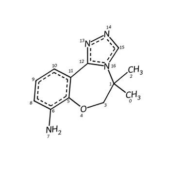 CC1(C)COc2c(N)cccc2-c2nncn21